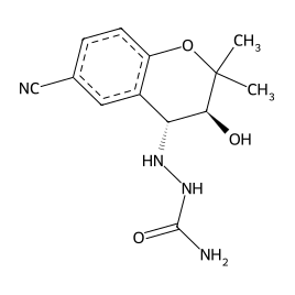 CC1(C)Oc2ccc(C#N)cc2[C@@H](NNC(N)=O)[C@@H]1O